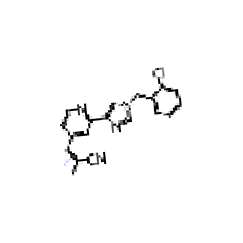 C/C(C#N)=C/c1ccnc(-c2cn(Cc3ccccc3Cl)cn2)c1